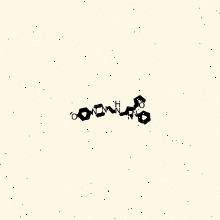 COc1ccc(N2CCN(CCNCc3cc(-c4ccco4)n(-c4ccccc4)n3)CC2)cc1